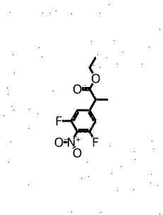 CCOC(=O)C(C)c1cc(F)c([N+](=O)[O-])c(F)c1